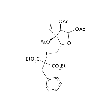 C=C[C@@]1(OC(C)=O)[C@@H](COC(Cc2ccccc2)(C(=O)OCC)C(=O)OCC)OC(OC(C)=O)[C@@H]1OC(C)=O